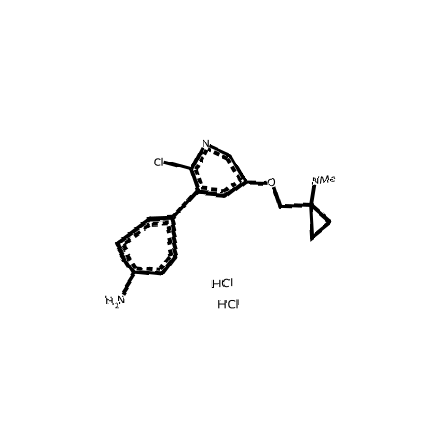 CNC1(COc2cnc(Cl)c(-c3ccc(N)cc3)c2)CC1.Cl.Cl